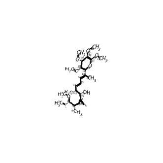 CC[C@H](OC)[C@@H](C)[C@@H]1C=C1[C@@H](O)[C@H](C)/C=C/C=C(\C)[C@@H]1O[C@H](OC)[C@H](OC)[C@@H](OC)[C@@H]1OC